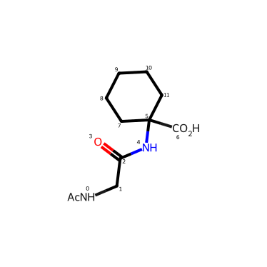 CC(=O)NCC(=O)NC1(C(=O)O)CCCCC1